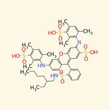 CCCCC(CC)CNS(=O)(=O)c1ccccc1-c1c2cc(S(=O)(=O)O)/c(=N/c3c(C)cc(C)c(S(=O)(=O)O)c3C)cc-2oc2cc(Nc3c(C)cc(C)c(S(=O)(=O)O)c3C)ccc12